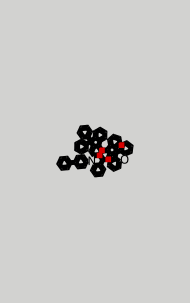 c1ccc(-c2ccc(N(c3ccc4c(c3)C(c3ccccc3)(c3ccccc3)c3ccccc3-4)c3ccccc3-c3ccc4c(c3)C3(c5ccccc5Oc5ccccc53)c3ccccc3-4)cc2)cc1